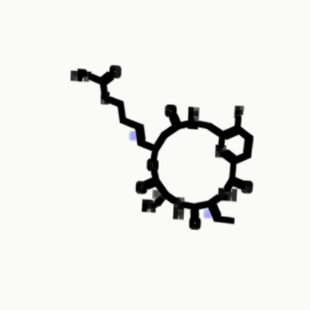 C/C=C1\NC(=O)c2ccc(F)c(n2)CNC(=O)CC(/C=C/CCSC(=O)CCC)OC(=O)[C@H](C(C)C)NC1=O